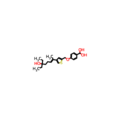 CCC(O)(CC)CCC=C(C)c1csc(COc2ccc(C(O)O)cc2)c1